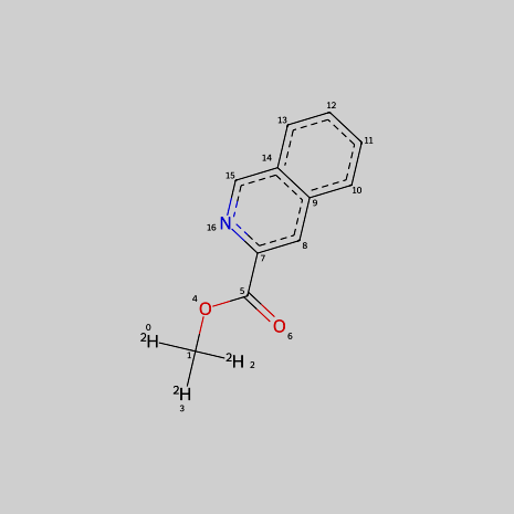 [2H]C([2H])([2H])OC(=O)c1cc2ccccc2cn1